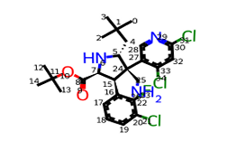 CC(C)(C)C[C@H]1N[C@H](C(=O)OC(C)(C)C)[C@H](c2cccc(Cl)c2F)[C@@]1(CN)c1cnc(Cl)cc1Cl